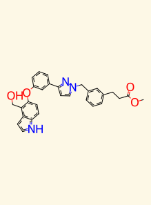 COC(=O)CCc1cccc(Cn2ccc(-c3cccc(Oc4ccc5[nH]ccc5c4CO)c3)n2)c1